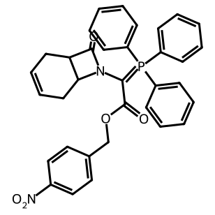 O=C(OCc1ccc([N+](=O)[O-])cc1)C(N1C(=O)C2CC=CCC21)=P(c1ccccc1)(c1ccccc1)c1ccccc1